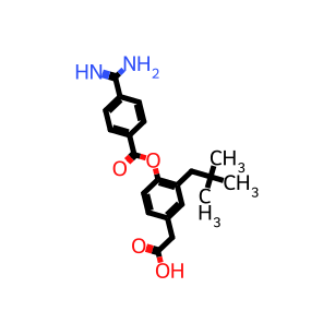 CC(C)(C)Cc1cc(CC(=O)O)ccc1OC(=O)c1ccc(C(=N)N)cc1